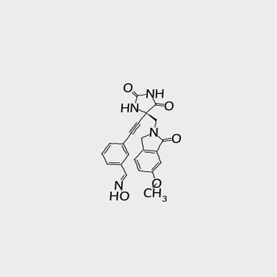 COc1ccc2c(c1)C(=O)N(C[C@@]1(C#Cc3cccc(C=NO)c3)NC(=O)NC1=O)C2